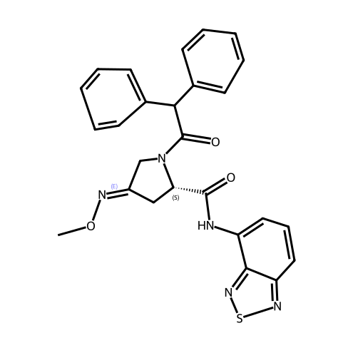 CO/N=C1\C[C@@H](C(=O)Nc2cccc3nsnc23)N(C(=O)C(c2ccccc2)c2ccccc2)C1